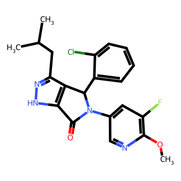 COc1ncc(N2C(=O)c3[nH]nc(CC(C)C)c3C2c2ccccc2Cl)cc1F